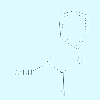 CC(=O)NNC(=N)Nc1ccccc1